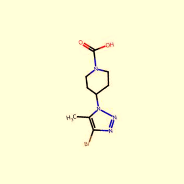 Cc1c(Br)nnn1C1CCN(C(=O)O)CC1